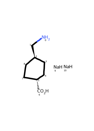 NC[C@H]1CC[C@H](C(=O)O)CC1.[NaH].[NaH]